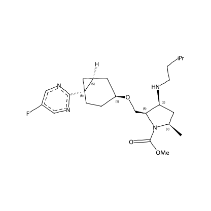 COC(=O)N1[C@H](C)C[C@H](NCCC(C)C)[C@@H]1CO[C@H]1CC[C@@]2(c3ncc(F)cn3)C[C@H]2C1